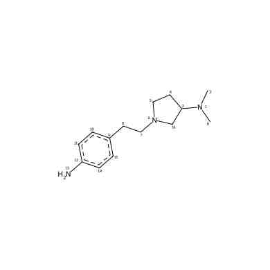 CN(C)C1CCN(CCc2ccc(N)cc2)C1